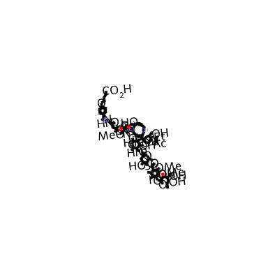 CCN(C(C)=O)C1COC(OC2C(O[C@H]3C#C/C=C\C#C[C@]4(O)CC(=O)C(NC(=O)OC)=C3/C4=C\CSSC(C)(C)CC(=O)N/N=C(\C)c3ccc(OCCCC(=O)O)cc3)OC(C)C(NOC3CC(O)C(SC(=O)c4c(C)c(I)c(OC5OC(C)C(O)C(CO)C5O)c(OC)c4OC)C(C)O3)C2O)CC1CO